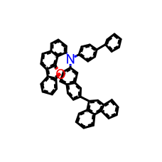 c1ccc(-c2ccc(N(c3ccc4ccc(-c5cc6ccccc6c6ccccc56)cc4c3)c3cccc4ccc5c6ccccc6oc5c34)cc2)cc1